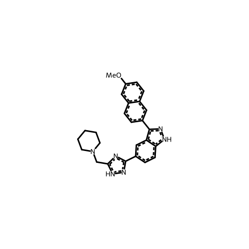 COc1ccc2cc(-c3n[nH]c4ccc(-c5n[nH]c(CN6CCCCC6)n5)cc34)ccc2c1